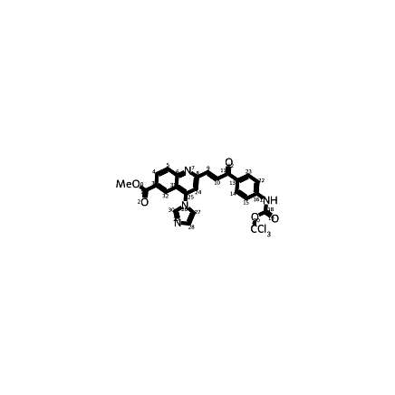 COC(=O)c1ccc2nc(C=CC(=O)c3ccc(NC(=O)OC(Cl)(Cl)Cl)cc3)cc(-n3ccnc3)c2c1